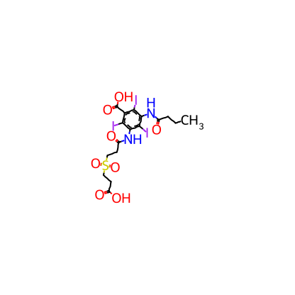 CCCC(=O)Nc1c(I)c(NC(=O)CCS(=O)(=O)CCC(=O)O)c(I)c(C(=O)O)c1I